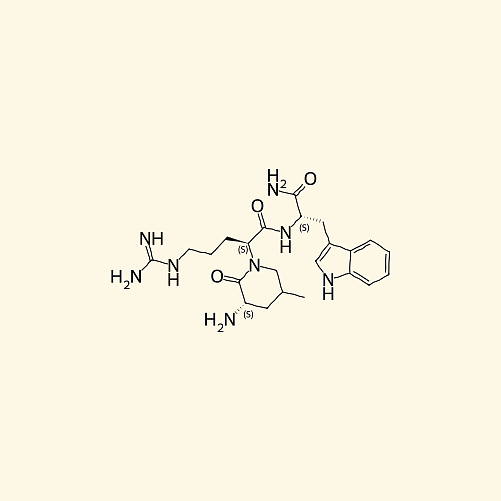 CC1C[C@H](N)C(=O)N([C@@H](CCCNC(=N)N)C(=O)N[C@@H](Cc2c[nH]c3ccccc23)C(N)=O)C1